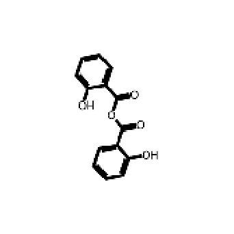 O=C(OC(=O)c1ccccc1O)c1ccccc1O